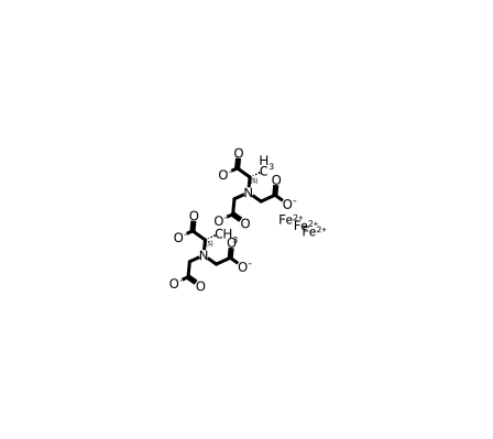 C[C@@H](C(=O)[O-])N(CC(=O)[O-])CC(=O)[O-].C[C@@H](C(=O)[O-])N(CC(=O)[O-])CC(=O)[O-].[Fe+2].[Fe+2].[Fe+2]